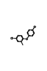 Cc1cc(Cl)ccc1Oc1ccc([O])cc1